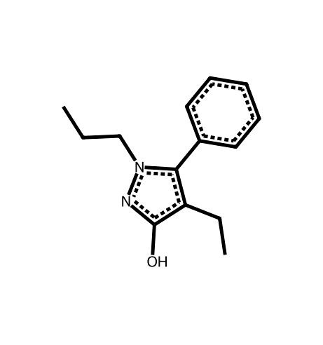 CCCn1nc(O)c(CC)c1-c1ccccc1